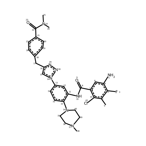 Cc1c(F)c(N)cc(C(=O)Nc2cc(-n3cc(Cc4ccc(C(=O)N(C)C)cc4)nn3)ccc2N2CCN(C)CC2)c1Cl